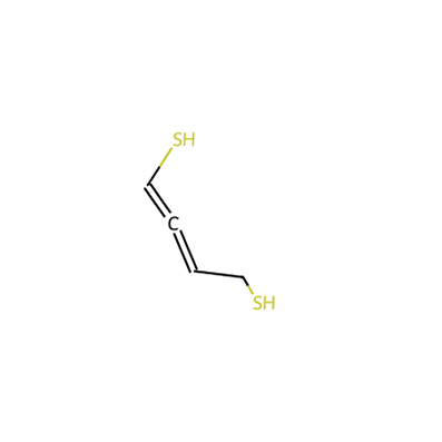 SC=C=CCS